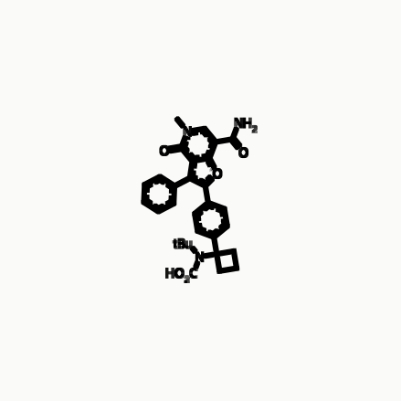 Cn1cc(C(N)=O)c2oc(-c3ccc(C4(N(C(=O)O)C(C)(C)C)CCC4)cc3)c(-c3ccccc3)c2c1=O